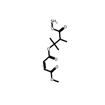 COC(=O)/C=C\C(=O)OC(C)(C)C(C)C(=O)O[SiH3]